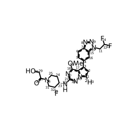 [2H]c1cc(-c2ccc3nnn(CC(F)F)c3c2)c2c(OC)nc(N[C@H]3CCN(C(=O)CO)C[C@H]3F)nn12